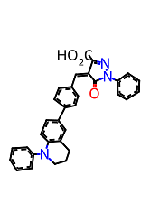 O=C(O)C1=NN(c2ccccc2)C(=O)/C1=C\c1ccc(-c2ccc3c(c2)CCCN3c2ccccc2)cc1